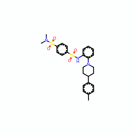 Cc1ccc(C2CCN(c3ccccc3NS(=O)(=O)c3ccc(S(=O)(=O)N(C)C)cc3)CC2)cc1